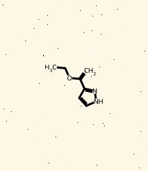 C=C(OCC)c1cc[nH]n1